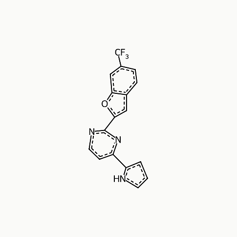 FC(F)(F)c1ccc2cc(-c3nccc(-c4ccc[nH]4)n3)oc2c1